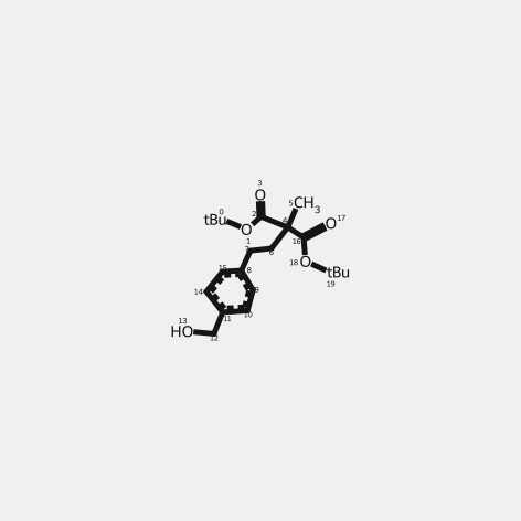 CC(C)(C)OC(=O)C(C)(CCc1ccc(CO)cc1)C(=O)OC(C)(C)C